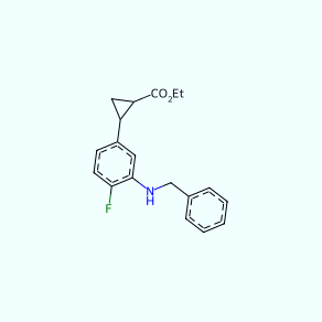 CCOC(=O)C1CC1c1ccc(F)c(NCc2ccccc2)c1